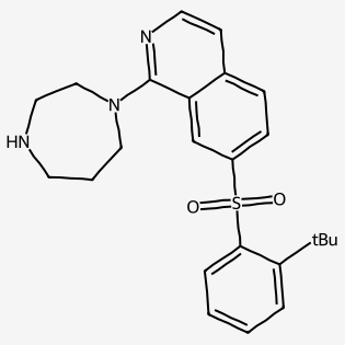 CC(C)(C)c1ccccc1S(=O)(=O)c1ccc2ccnc(N3CCCNCC3)c2c1